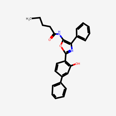 CCCCC(=O)Nc1oc(-c2ccc(-c3ccccc3)cc2O)nc1-c1ccccc1